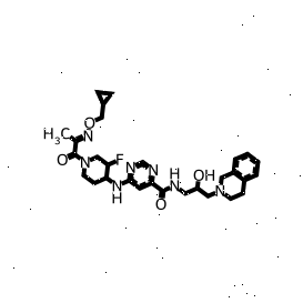 CC(=NOCC1CC1)C(=O)N1CCC(Nc2cc(C(=O)NCC(O)CN3CCc4ccccc4C3)ncn2)C(F)C1